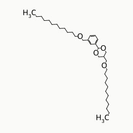 CCCCCCCCCCCCOCc1cccc(C2OCC(COCCCCCCCCCCCC)CO2)c1